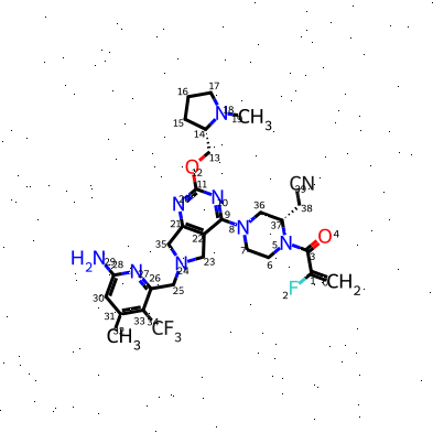 C=C(F)C(=O)N1CCN(c2nc(OC[C@@H]3CCCN3C)nc3c2CN(Cc2nc(N)cc(C)c2C(F)(F)F)C3)C[C@@H]1CC#N